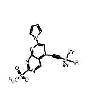 CC(C)[Si](C#Cc1cc(-n2cccc2)nc2nc(S(C)(=O)=O)ncc12)(C(C)C)C(C)C